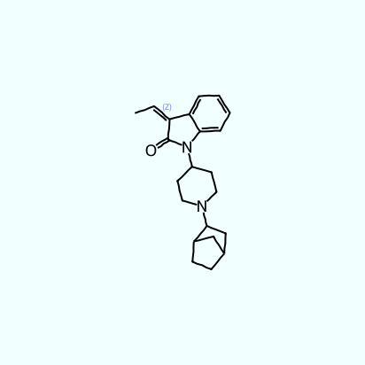 C/C=C1\C(=O)N(C2CCN(C3CC4CCC3C4)CC2)c2ccccc21